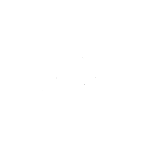 Cc1cccc(C)c1-c1nc(C)c(CN2CCCC(C)(C)C2)c(N2CCN(CC#N)CC2)n1